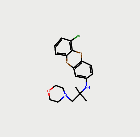 CC(C)(CN1CCOCC1)Nc1ccc2c(c1)Sc1cccc(Br)c1S2